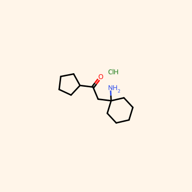 Cl.NC1(CC(=O)C2CCCC2)CCCCC1